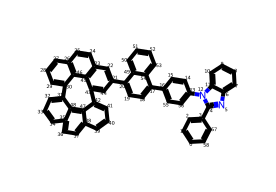 c1ccc(-c2nc3ccccc3n2-c2ccc(-c3ccc(-c4cc5ccc6cccc7c8cccc9ccc%10cccc(c(c4)c5c67)c%10c98)c4ccccc34)cc2)cc1